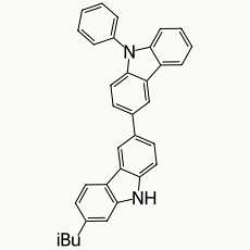 CCC(C)c1ccc2c(c1)[nH]c1ccc(-c3ccc4c(c3)c3ccccc3n4-c3ccccc3)cc12